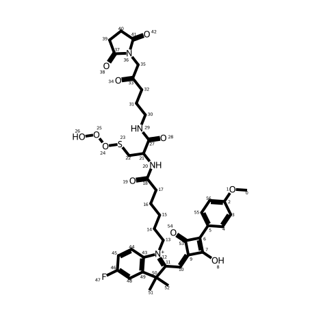 COc1ccc(C2=C(O)/C(=C/C3=[N+](CCCCCC(=O)NC(CSOOO)C(=O)NCCCC(=O)CN4C(=O)CCC4=O)c4ccc(F)cc4C3(C)C)C2=O)cc1